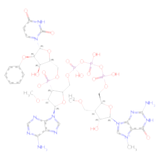 COC[C@H]1[C@@H](O)[C@H](n2c[n+](C)c3c(=O)[nH]c(N)nc32)O[C@@H]1COP(=O)(O)OP(=O)(O)OP(=O)(O)OCC1O[C@@H](n2cnc3c(N)ncnc32)[C@H](OC)[C@@H]1P(=O)([O-])OC[C@H]1O[C@@H](n2ccc(=O)[nH]c2=O)[C@H](Oc2ccccc2)[C@@H]1O